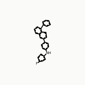 Fc1ccc(Nc2ccc(-c3ccc4c(-c5ccccc5)cccc4c3)cc2)cc1